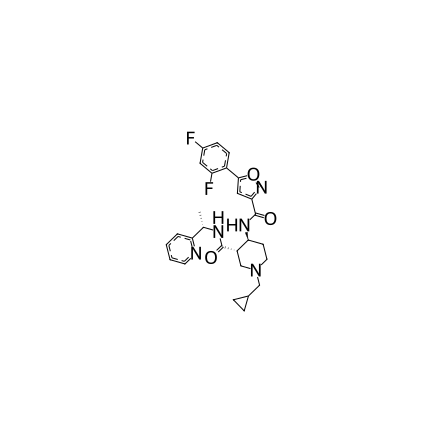 C[C@H](NC(=O)[C@H]1CN(CC2CC2)CC[C@@H]1NC(=O)c1cc(-c2ccc(F)cc2F)on1)c1ccccn1